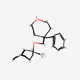 C[C@H]1C[C@@](OCC2(c3ccccc3)CCOCC2)(C(F)(F)F)C1